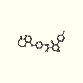 O=C(Nc1ccc(Oc2ccnc3c2SCCCN3)cc1)c1c[nH]cc(-c2ccc(F)cc2)c1=O